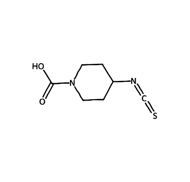 O=C(O)N1CCC(N=C=S)CC1